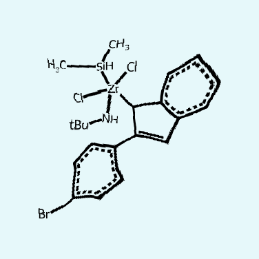 C[SiH](C)[Zr]([Cl])([Cl])([NH]C(C)(C)C)[CH]1C(c2ccc(Br)cc2)=Cc2ccccc21